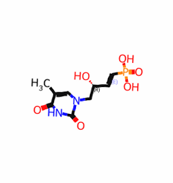 Cc1cn(C[C@H](O)/C=C/P(=O)(O)O)c(=O)[nH]c1=O